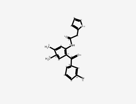 Cc1cc(NC(=O)Cc2cccs2)c(C(=O)c2cccc(Br)c2)cc1C